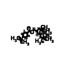 CN(C)c1ccc(C(=O)OCC(=CCCC(C)(C)C)CC(C)(C)C)cc1